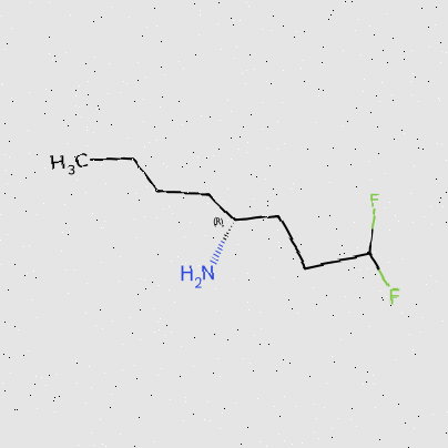 CCCC[C@@H](N)CCC(F)F